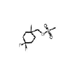 CC1(COS(C)(=O)=O)CCC(F)(F)CC1